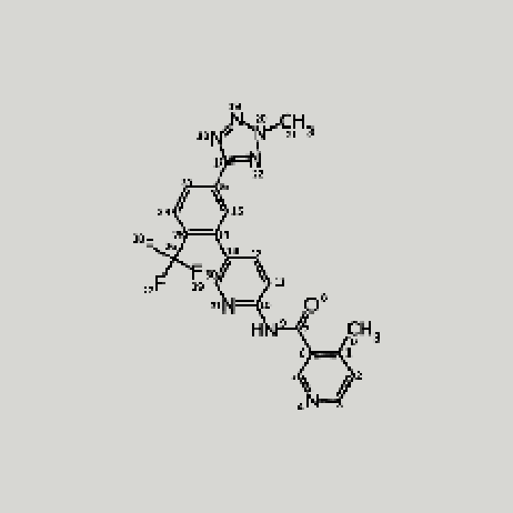 Cc1ccncc1C(=O)Nc1ccc(-c2cc(-c3nnn(C)n3)ccc2C(F)(F)F)cn1